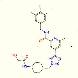 Cc1cc(-c2nnn(C[C@H]3CC[C@H](NC(=O)CO)CC3)n2)cc(C(=O)NCc2ccc(F)c(C)c2)n1